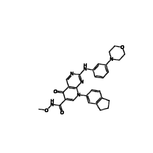 CONC(=O)c1cn(-c2ccc3c(c2)CCC3)c2nc(Nc3cccc(N4CCOCC4)c3)ncc2c1=O